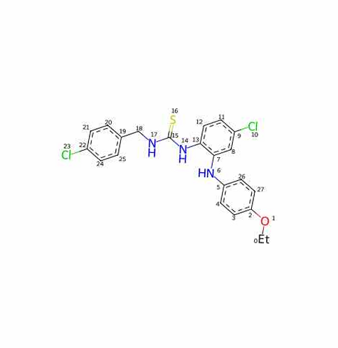 CCOc1ccc(Nc2cc(Cl)ccc2NC(=S)NCc2ccc(Cl)cc2)cc1